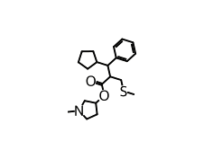 CSCC(C(=O)OC1CCN(C)C1)C(c1ccccc1)C1CCCC1